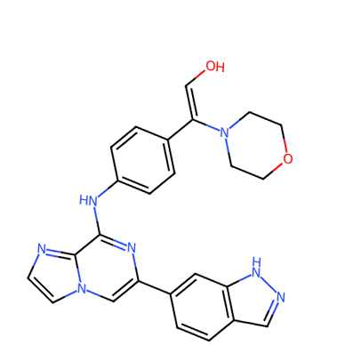 O/C=C(/c1ccc(Nc2nc(-c3ccc4cn[nH]c4c3)cn3ccnc23)cc1)N1CCOCC1